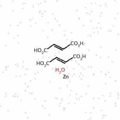 O.O=C(O)C=CC(=O)O.O=C(O)C=CC(=O)O.[Zn]